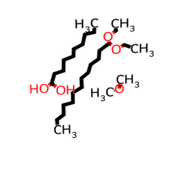 CCCCCCCCCC(O)O.CCCCCCCCCCCCC(OCC)OCC.COC